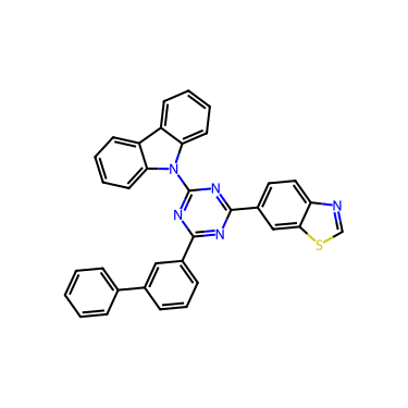 c1ccc(-c2cccc(-c3nc(-c4ccc5ncsc5c4)nc(-n4c5ccccc5c5ccccc54)n3)c2)cc1